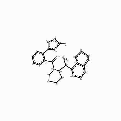 Cc1noc(-c2ccccc2C(=O)N2CCCCC2C(N)c2nccc3ccccc23)n1